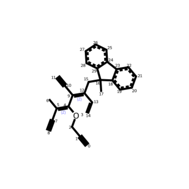 C#CCOC(=C(/C)C#C)/C(C#C)=C(\C=C)CC1(C)c2ccccc2-c2ccccc21